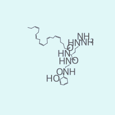 CC/C=C\C/C=C\C/C=C\C/C=C\C/C=C\CCCC(=O)N[C@@H](CCCNC(=N)N)C(=O)NCCNC(=O)c1ccccc1O